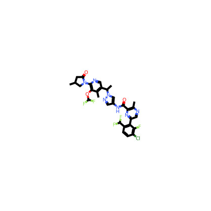 Cc1ncc(-c2c(C(F)F)ccc(Cl)c2F)nc1C(=O)Nc1cnn(C(C)c2cnc(N3CC(C)CC3=O)c(OC(F)F)c2C)c1